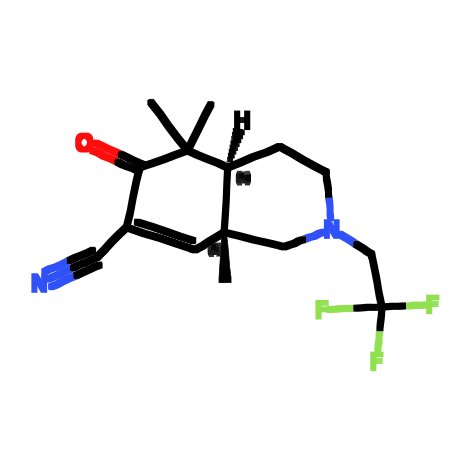 CC1(C)C(=O)C(C#N)=C[C@@]2(C)CN(CC(F)(F)F)CC[C@H]12